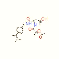 CC(=O)O[C@@H](C)C(=O)N1C[C@H](O)C[C@H]1C(=O)NCc1ccc(C(C)=C(C)C)cc1